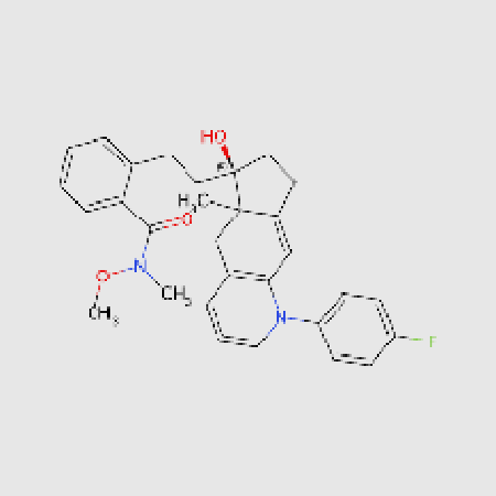 CON(C)C(=O)c1ccccc1CC[C@]1(O)CCC2=CC3=C(C=C=CN3c3ccc(F)cc3)CC21C